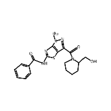 CC(C)(C)n1nc(C(=O)N2CCCCC2CO)c2sc(NC(=O)c3ccccc3)nc21